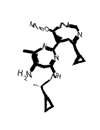 COc1ncnc(C2CC2)c1-c1nc(C)c(N)c(N[C@@H](C)C2CC2)n1